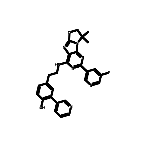 CC1(C)COc2nc3c(NCCc4ccc(O)c(-c5cccnc5)c4)nc(-c4cncc(F)c4)nc3n21